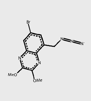 COc1nc2cc(Br)cc(CN=[N+]=[N-])c2nc1OC